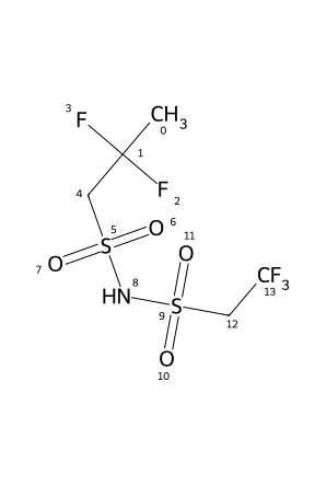 CC(F)(F)CS(=O)(=O)NS(=O)(=O)CC(F)(F)F